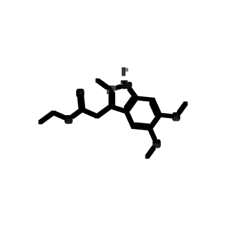 CCOC(=O)Cc1c2cc(OC)c(OC)cc2[te][n+]1C.[I-]